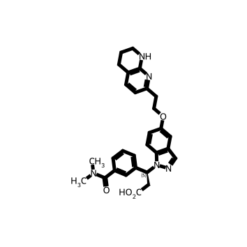 CN(C)C(=O)c1cccc([C@H](CC(=O)O)n2ncc3cc(OCCc4ccc5c(n4)NCCC5)ccc32)c1